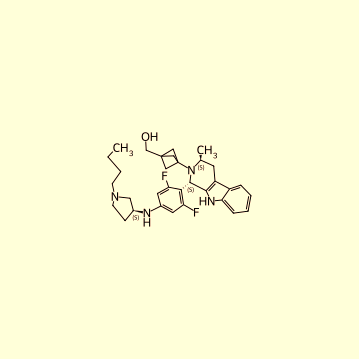 CCCCN1CC[C@H](Nc2cc(F)c([C@H]3c4[nH]c5ccccc5c4C[C@H](C)N3C34CC(CO)(C3)C4)c(F)c2)C1